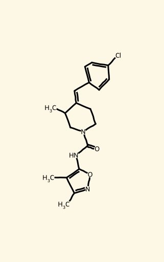 Cc1noc(NC(=O)N2CC/C(=C\c3ccc(Cl)cc3)C(C)C2)c1C